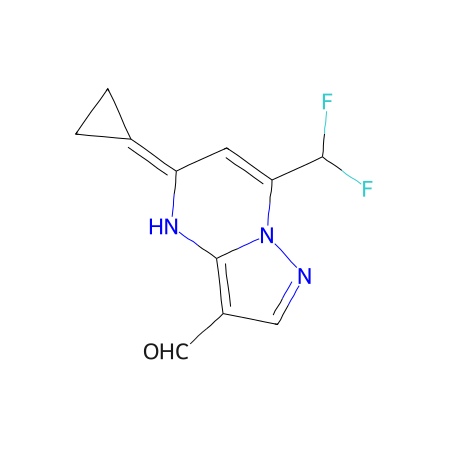 O=Cc1cnn2c1NC(=C1CC1)C=C2C(F)F